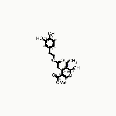 C/C=C1/[C@H](CC(=O)OCCc2ccc(O)c(O)c2)C(C(=O)OC)=CO[C@@H]1O